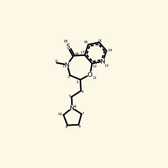 CN1CC(CCN2CCCC2)Oc2ncccc2C1=S